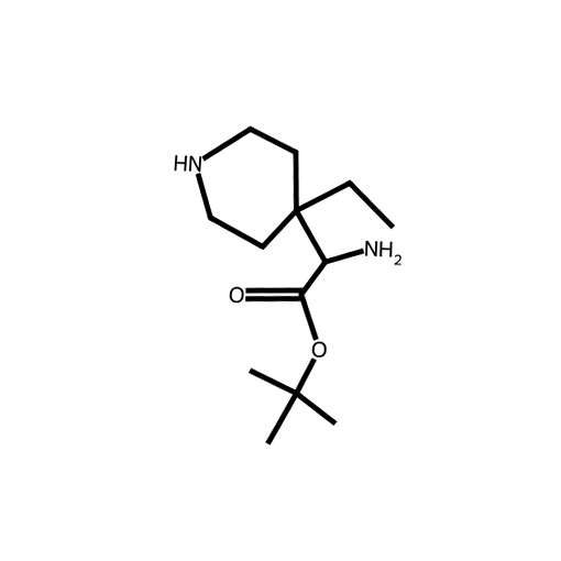 CCC1(C(N)C(=O)OC(C)(C)C)CCNCC1